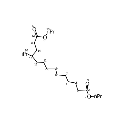 CCCOC(=O)CCCCCCCCCC(CCC(=O)OCCC)C(C)C